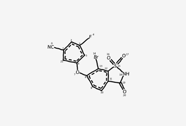 N#Cc1cc(F)cc(Oc2ccc3c(c2Br)S(=O)(=O)NC3=O)c1